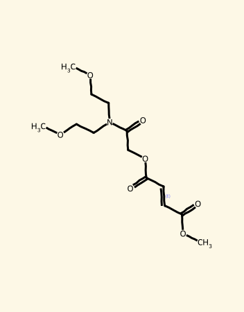 COCCN(CCOC)C(=O)COC(=O)/C=C/C(=O)OC